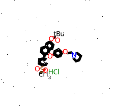 CC(C)(C)C(=O)Oc1ccc2c(Oc3ccc(OCCN4CCCCC4)cc3)c(-c3ccc(S(C)(=O)=O)cc3)ccc2c1.Cl